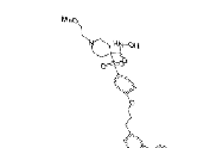 COCCN1CCC(C(=O)NO)(S(=O)(=O)c2ccc(OCCCc3cccc(-c4cccs4)c3)cc2)CC1